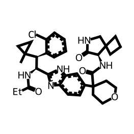 CCC(=O)N[C@H](c1nc2ccc(C3(C(=O)N[C@H]4C(=O)NCC45CCC5)CCOCC3)cc2[nH]1)[C@H](c1ccccc1Cl)C1(C)CC1